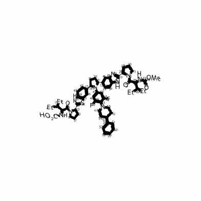 CCC(CC)C(NC(=O)O)C(=O)N1CCC[C@H]1c1nc2cc([C@H]3CC[C@H](c4ccc5[nH]c([C@@H]6CCCN6C(=O)C(NC(=O)OC)C(CC)CC)nc5c4)N3c3cc(F)c(N4CCC(c5ccccc5)CC4)c(F)c3)ccc2[nH]1